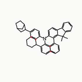 CC1(C)c2ccccc2-c2ccc(N(c3ccc(C4CC5CCC4C5)cc3)c3ccccc3C3CCCCC3)c(-c3ccccc3)c21